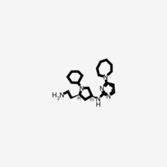 NCC[C@@H]1C[C@H](Nc2nccc(N3CCCCCC3)n2)CN1C1CCCCC1